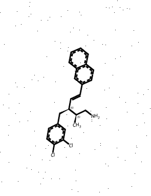 C[C@H](CN)[C@H](C=Cc1ccc2ccccc2c1)Cc1ccc(Cl)c(Cl)c1